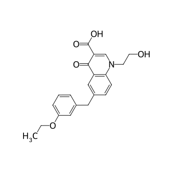 CCOc1cccc(Cc2ccc3c(c2)c(=O)c(C(=O)O)cn3CCO)c1